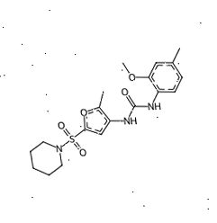 COc1cc(C)ccc1NC(=O)Nc1cc(S(=O)(=O)N2CCCCC2)oc1C